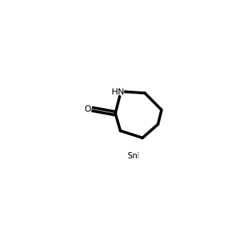 O=C1CCCCCN1.[Sn]